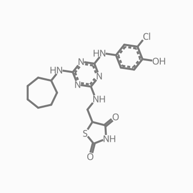 O=C1NC(=O)C(CNc2nc(Nc3ccc(O)c(Cl)c3)nc(NC3CCCCCC3)n2)S1